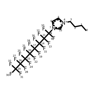 CCCC[n+]1ccn(C(F)(F)C(F)(F)C(F)(F)C(F)(F)C(F)(F)C(F)(F)C(F)(F)C(F)(F)F)c1